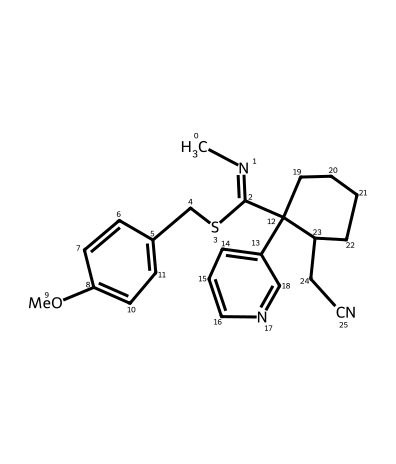 CN=C(SCc1ccc(OC)cc1)C1(c2cccnc2)CCCCC1CC#N